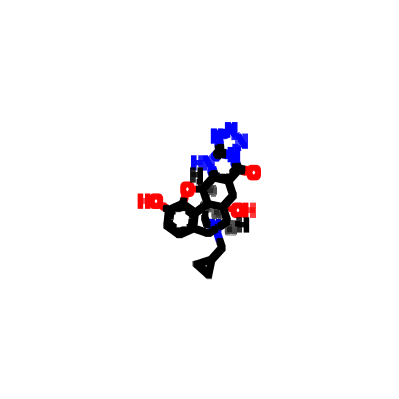 O=c1c2c([nH]c3nnnn13)[C@@H]1Oc3c(O)ccc4c3[C@@]13CCN(CC1CC1)[C@H](C4)[C@]3(O)C2